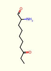 CCC(=O)CCCCCC(N)C=O